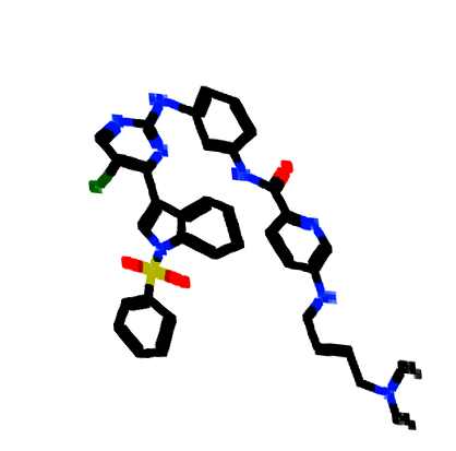 CN(C)C/C=C/CNc1ccc(C(=O)Nc2cccc(Nc3ncc(Cl)c(-c4cn(S(=O)(=O)c5ccccc5)c5ccccc45)n3)c2)nc1